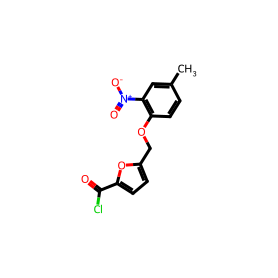 Cc1ccc(OCc2ccc(C(=O)Cl)o2)c([N+](=O)[O-])c1